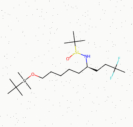 CC(F)(F)CC[C@@H](CCCCCO[Si](C)(C)C(C)(C)C)N[S+]([O-])C(C)(C)C